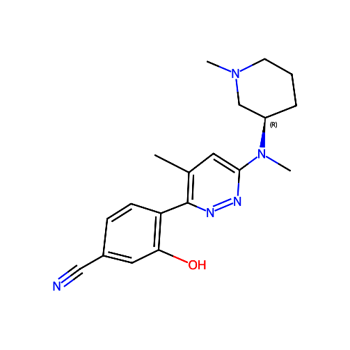 Cc1cc(N(C)[C@@H]2CCCN(C)C2)nnc1-c1ccc(C#N)cc1O